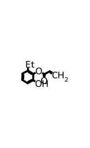 C=CC(=O)Oc1c(O)cccc1CC